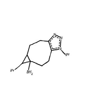 BC12CCc3c(nnn3C(C)C)CCC1C2C(C)C